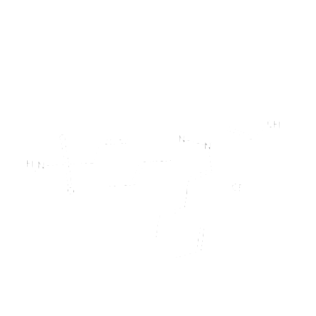 CC=Cn1nc(-c2ccc(S(N)(=O)=O)cc2)c(-c2ccccc2)c1C(F)(F)F